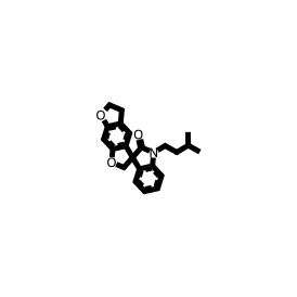 CC(C)CCN1C(=O)C2(COc3cc4c(cc32)CCO4)c2ccccc21